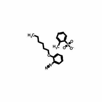 CCCCCCOc1ccccc1[N+]#N.Cc1ccccc1S(=O)(=O)[O-]